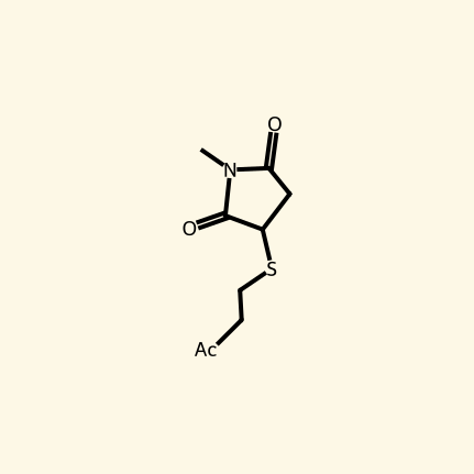 CC(=O)CCSC1CC(=O)N(C)C1=O